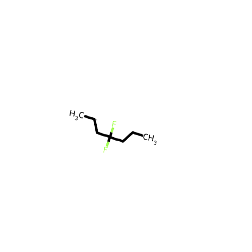 C[CH]CC(F)(F)CCC